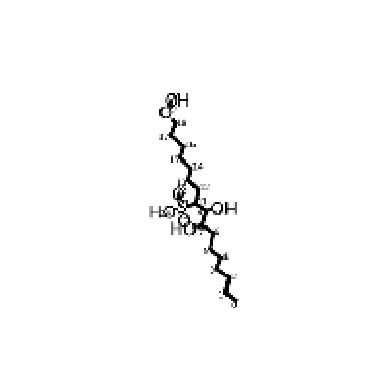 CCCCCCCC(O)C(O)C(CCCCCCCOO)S(=O)(=O)O